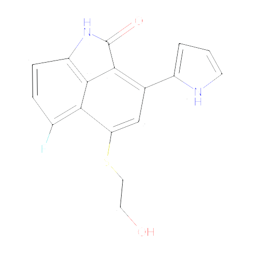 O=C1Nc2ccc(F)c3c(SCCO)cc(-c4ccc[nH]4)c1c23